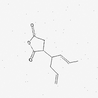 C=CCC(/C=C/C)C1CC(=O)OC1=O